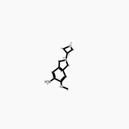 COc1cc2c(cc1N)CN(C1COC1)C2